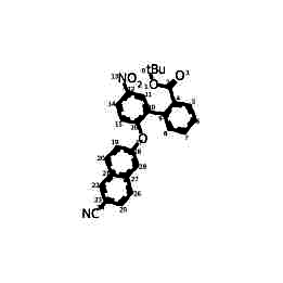 CC(C)(C)OC(=O)c1ccccc1-c1cc([N+](=O)[O-])ccc1Oc1ccc2cc(C#N)ccc2c1